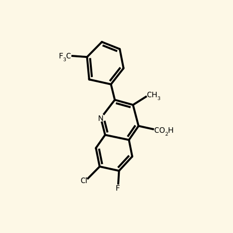 Cc1c(-c2cccc(C(F)(F)F)c2)nc2cc(Cl)c(F)cc2c1C(=O)O